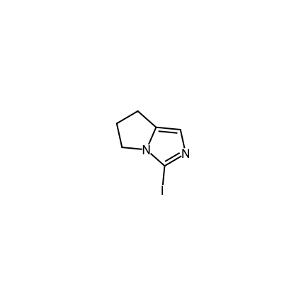 Ic1ncc2n1CCC2